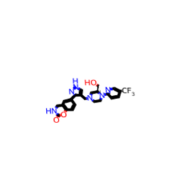 O=C1NCc2cc(-c3n[nH]cc3CN3CCN(c4ccc(C(F)(F)F)cn4)[C@H](CO)C3)ccc2O1